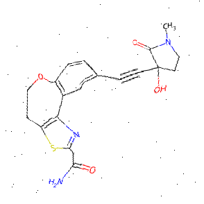 CN1CCC(O)(C#Cc2ccc3c(c2)-c2nc(C(N)=O)sc2CCO3)C1=O